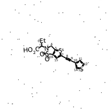 CCC(C(=O)O)N1Cc2sc(C#Cc3ccsc3)cc2S1(=O)=O